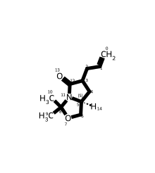 C=CCC1C[C@H]2COC(C)(C)N2C1=O